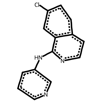 Clc1ccc2ccnc(Nc3cccnc3)c2c1